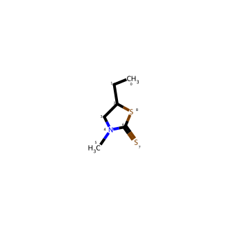 CCC1CN(C)C(=S)S1